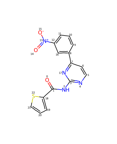 O=C(Nc1nccc(-c2cccc([N+](=O)[O-])c2)n1)c1cccs1